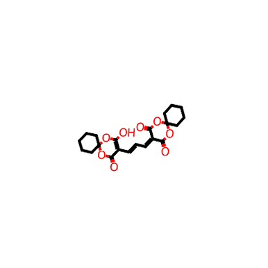 O=C1OC2(CCCCC2)OC(=O)C1=CC=CC1=C(O)OC2(CCCCC2)OC1=O